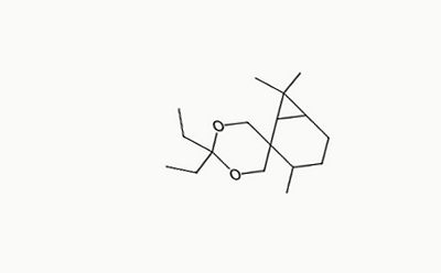 CCC1(CC)OCC2(CO1)C(C)CCC1C2C1(C)C